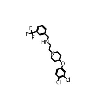 FC(F)(F)c1cccc(CNCCN2CCC(Oc3ccc(Cl)c(Cl)c3)CC2)c1